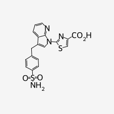 NS(=O)(=O)c1ccc(Cc2cn(-c3nc(C(=O)O)cs3)c3ncccc23)cc1